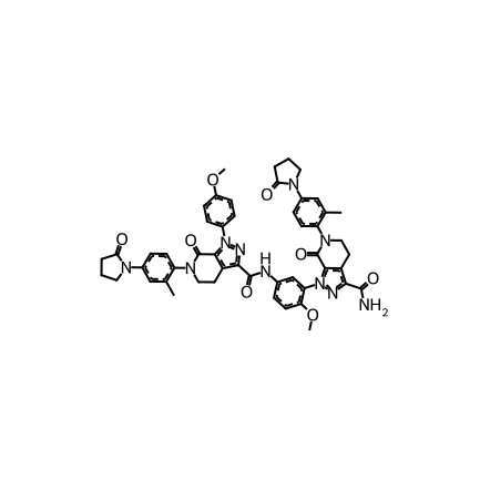 COc1ccc(-n2nc(C(=O)Nc3ccc(OC)c(-n4nc(C(N)=O)c5c4C(=O)N(c4ccc(N6CCCC6=O)cc4C)CC5)c3)c3c2C(=O)N(c2ccc(N4CCCC4=O)cc2C)CC3)cc1